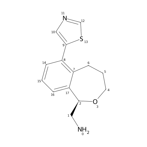 NC[C@@H]1OCCCc2c(-c3cncs3)cccc21